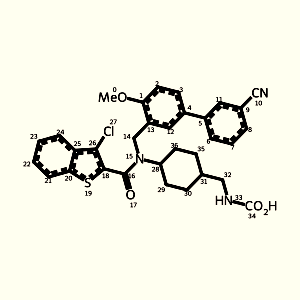 COc1ccc(-c2cccc(C#N)c2)cc1CN(C(=O)c1sc2ccccc2c1Cl)C1CCC(CNC(=O)O)CC1